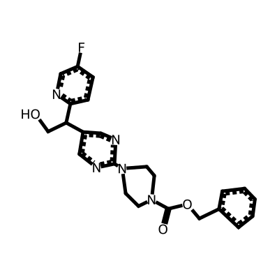 O=C(OCc1ccccc1)N1CCN(c2ncc(C(CO)c3ccc(F)cn3)cn2)CC1